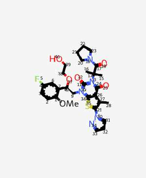 COc1ccc(F)cc1[C@H](Cn1c(=O)n(C(C)(C)C(=O)N2CCCC2)c(=O)c2c(C)c(-n3cccn3)sc21)OCCO